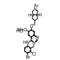 COc1cc2c(Nc3ccc(Br)c(Cl)c3F)ncnc2cc1OCC1C[C@@H]2CN(C(C)=O)C[C@@H]2C1.Cl